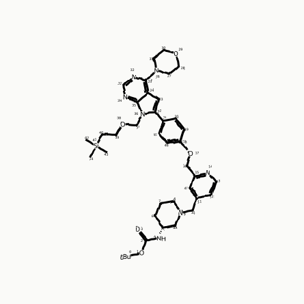 CC(C)(C)OC(=O)N[C@@H]1CCCN(Cc2ccnc(COc3ccc(-c4cc5c(N6CCOCC6)ncnc5n4COCC[Si](C)(C)C)cc3)c2)C1